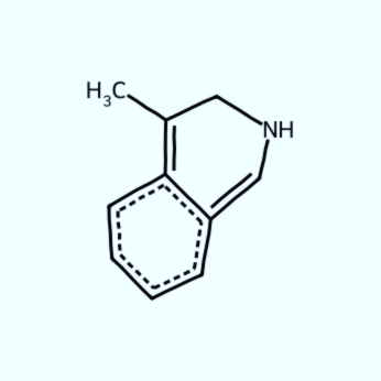 CC1=c2ccccc2=CNC1